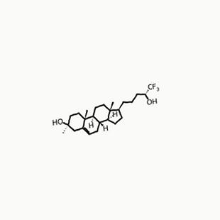 C[C@]1(O)CC[C@@]2(C)C(=CC[C@H]3[C@@H]4CC[C@H](CCC[C@@H](O)C(F)(F)F)[C@@]4(C)CC[C@@H]32)C1